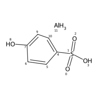 O=S(=O)(O)c1ccc(O)cc1.[AlH3]